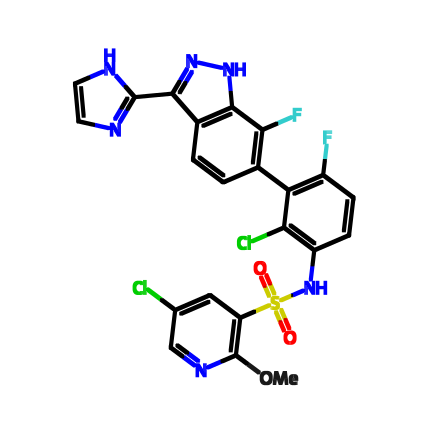 COc1ncc(Cl)cc1S(=O)(=O)Nc1ccc(F)c(-c2ccc3c(-c4ncc[nH]4)n[nH]c3c2F)c1Cl